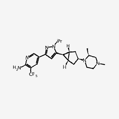 CC(C)n1nc(-c2cnc(N)c(C(F)(F)F)c2)cc1[C@H]1[C@@H]2C[C@@H](N3CCN(C)C[C@@H]3C)C[C@@H]21